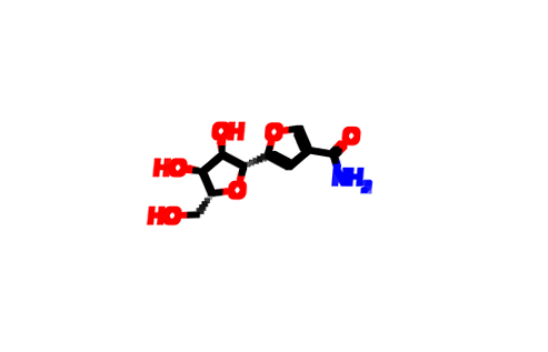 NC(=O)c1coc([C@@H]2O[C@H](CO)[C@@H](O)[C@H]2O)c1